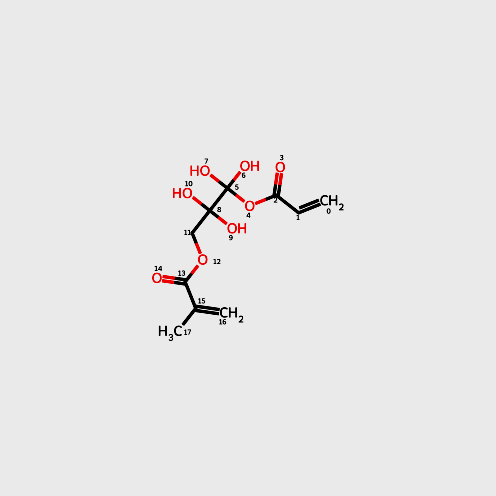 C=CC(=O)OC(O)(O)C(O)(O)COC(=O)C(=C)C